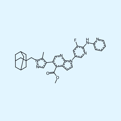 COC(=O)c1c(-c2cnn(CC34CC5CC(CC(C5)C3)C4)c2C)cnc2c1ccn2-c1cnc(Nc2ccccn2)c(F)c1